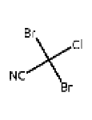 N#CC(Cl)(Br)Br